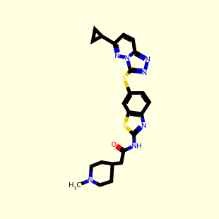 CN1CCC(CC(=O)Nc2nc3ccc(Sc4nnc5ccc(C6CC6)nn45)cc3s2)CC1